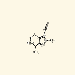 CC1NCCc2c1nn(C)c2C#N